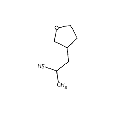 CC(S)CC1CCOC1